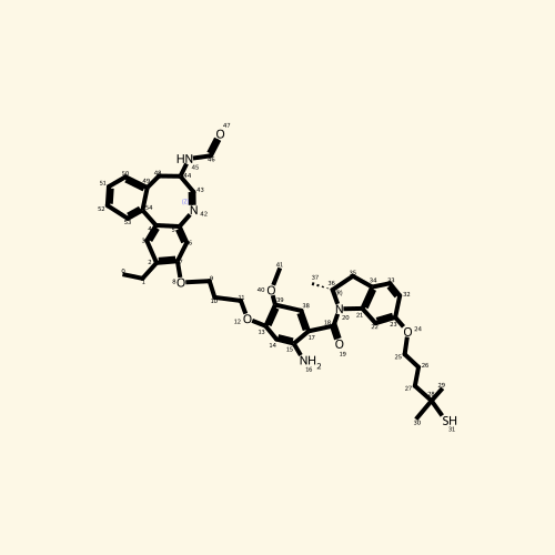 CCc1cc2c(cc1OCCCOc1cc(N)c(C(=O)N3c4cc(OCCCC(C)(C)S)ccc4C[C@H]3C)cc1OC)/N=C\C(NC=O)Cc1ccccc1-2